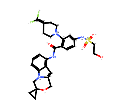 O=C(Nc1cccc2c1cc1n2CC2(CC2)OC1)c1ccc(NS(=O)(=O)CCO)cc1N1CCC(=C(F)F)CC1